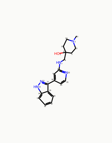 CN1CCC(O)(CNc2cc(-c3n[nH]c4ccccc34)ccn2)CC1